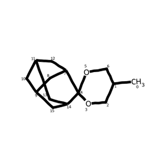 CC1COC2(OC1)C1CC3CC(C1)CC2C3